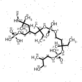 CCC(C)(CCOP(=O)(O)OC(C)(CC)CC(COP(=O)(O)O)CC(C)(C)NF)OP(=O)(O)OCC(C)CO